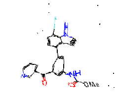 COC(=O)Nc1cc(C(=O)c2cccnc2)cc(-c2ccc(F)c3[nH]ccc23)c1